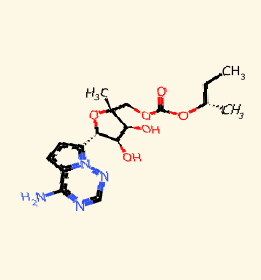 CC[C@H](C)OC(=O)OC[C@@]1(C)O[C@@H](c2ccc3c(N)ncnn23)[C@H](O)[C@@H]1O